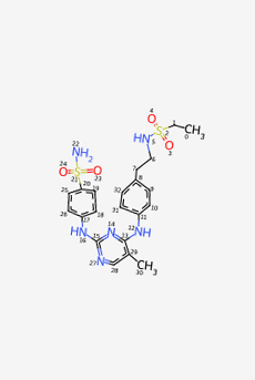 CCS(=O)(=O)NCCc1ccc(Nc2nc(Nc3ccc(S(N)(=O)=O)cc3)ncc2C)cc1